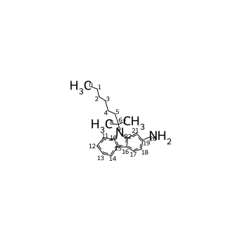 CCCCCCC(C)(C)n1c2ccccc2c2ccc(N)cc21